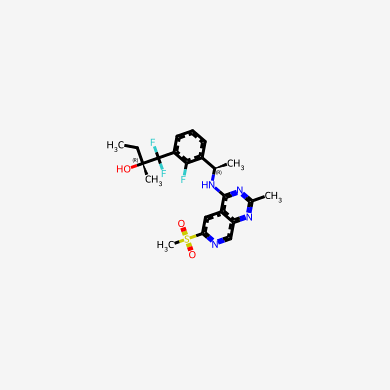 CC[C@@](C)(O)C(F)(F)c1cccc([C@@H](C)Nc2nc(C)nc3cnc(S(C)(=O)=O)cc23)c1F